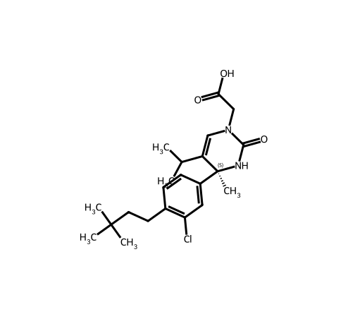 CC(C)C1=CN(CC(=O)O)C(=O)N[C@@]1(C)c1ccc(CCC(C)(C)C)c(Cl)c1